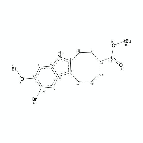 CCOc1cc2[nH]c3c(c2cc1Br)CCCC(C(=O)OC(C)(C)C)CC3